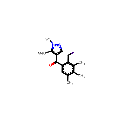 CCCn1ncc(C(=O)c2cc(C)c(C)c(C)c2CI)c1OC